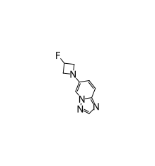 FC1CN(c2ccc3ncnn3c2)C1